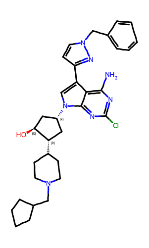 Nc1nc(Cl)nc2c1c(-c1ccn(Cc3ccccc3)n1)cn2[C@@H]1C[C@H](C2CCN(CC3CCCC3)CC2)[C@@H](O)C1